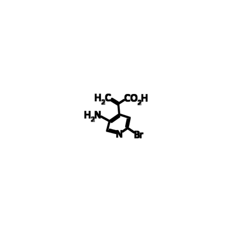 C=C(C(=O)O)c1cc(Br)ncc1N